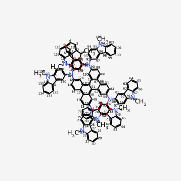 CC1c2ccccc2-c2cc(N(c3ccc4c5ccc(N(c6ccc7c(c6)c6ccccc6n7C)c6ccc7c(c6)c6ccccc6n7C)cc5c5c6cc(N(c7ccc8c(c7)c7ccccc7n8C)c7ccc8c(c7)c7ccccc7n8C)ccc6c6ccc(N(c7ccc8c(c7)c7ccccc7n8C)c7ccc8c(c7)c7ccccc7n8C)cc6c5c4c3)c3ccc4c(c3)c3ccccc3n4C)ccc21